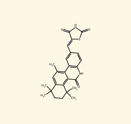 Cc1cc2c(c3c(=O)[nH]c4ccc(/C=C5\SC(=O)NC5=O)cc4c13)C(C)(C)CCC2(C)C